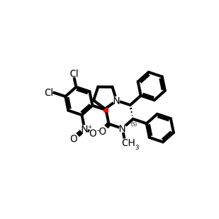 CN(C(=O)Cc1cc(Cl)c(Cl)cc1[N+](=O)[O-])[C@@H](c1ccccc1)C(c1ccccc1)N1CCCC1